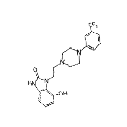 O=c1[nH]c2cccc(O)c2n1CCN1CCN(c2cccc(C(F)(F)F)c2)CC1